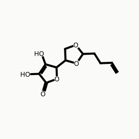 C=CCCC1OCC(C2OC(=O)C(O)=C2O)O1